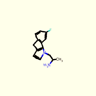 CC(N)Cn1ccc2c1-c1cc(F)ccc1C2